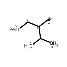 BC(C)C(CC(C)CCC)C(C)C